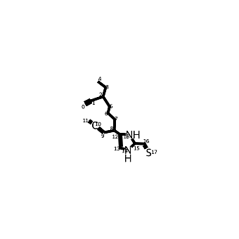 C#CC(CC)CCCC(C=C=C)C1=CNC(C=S)N1